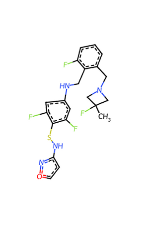 CC1(F)CN(Cc2cccc(F)c2CNc2cc(F)c(SNc3ccon3)c(F)c2)C1